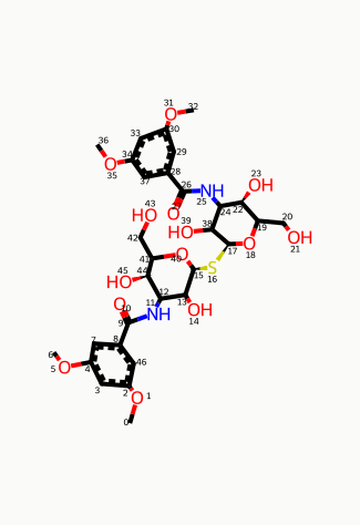 COc1cc(OC)cc(C(=O)NC2C(O)[C@H](S[C@@H]3OC(CO)[C@H](O)C(NC(=O)c4cc(OC)cc(OC)c4)C3O)OC(CO)[C@@H]2O)c1